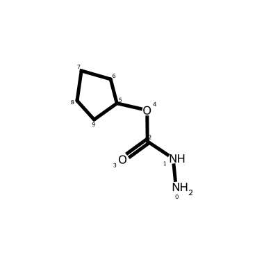 NNC(=O)OC1CCCC1